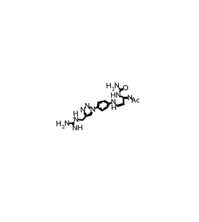 CC(=O)/N=C(\C=C/Nc1ccc(-n2cc(CNC(=N)N)nn2)cc1)NC(N)=O